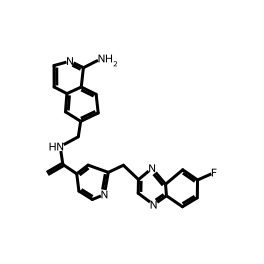 C=C(NCc1ccc2c(N)nccc2c1)c1ccnc(Cc2cnc3ccc(F)cc3n2)c1